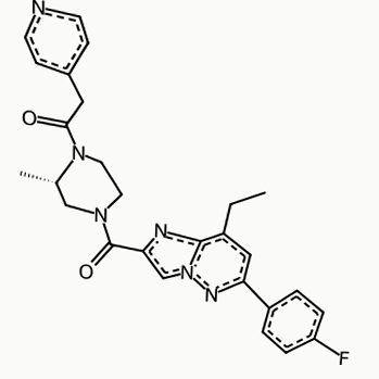 CCc1cc(-c2ccc(F)cc2)nn2cc(C(=O)N3CCN(C(=O)Cc4ccncc4)[C@@H](C)C3)nc12